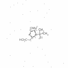 CCC(C)(C)c1cc(CC(=O)O)ccc1OC